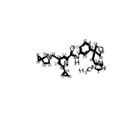 Cn1cnnc1CC1(c2cccc(NC(=O)c3cc(CN4CCC5(CC5)C4)cc(C4CC4)n3)c2)COC1